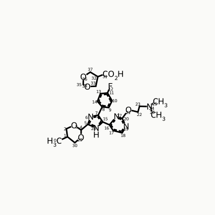 CC1COC(c2nc(-c3ccc(F)cc3)c(-c3ccnc(OCCN(C)C)n3)[nH]2)OC1.O=C(O)C1COCOC1